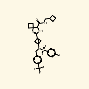 O=C(NCC1CCC1)C1NC(C23CC(N(Cc4ccc(C(F)(F)F)cc4)S(=O)(=O)c4ccc(F)cc4)(C2)C3)=NC12CCC2